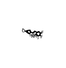 COc1c2cc(-c3cc4cc(F)c(F)cc4[nH]3)cc1-2.N